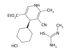 CCOC(=O)C1=CNC(C)=C(C#N)[C@H]1C1CCCCC1.CN=C(N)S.Cl